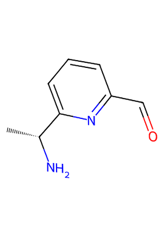 C[C@@H](N)c1cccc(C=O)n1